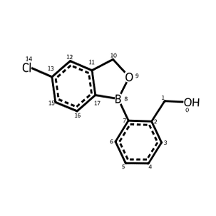 OCc1ccccc1B1OCc2cc(Cl)ccc21